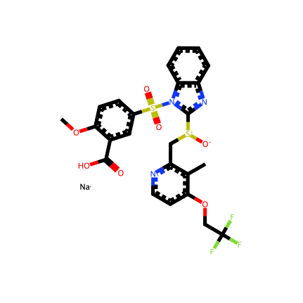 COc1ccc(S(=O)(=O)n2c([S+]([O-])Cc3nccc(OCC(F)(F)F)c3C)nc3ccccc32)cc1C(=O)O.[Na]